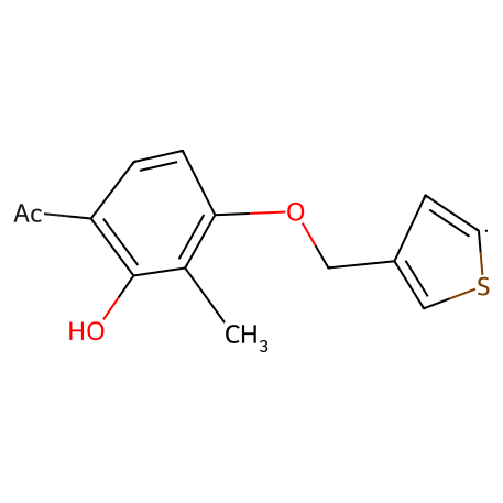 CC(=O)c1ccc(OCc2c[c]sc2)c(C)c1O